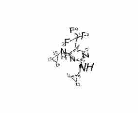 FC(F)(F)c1cnc(NC2CC2)nc1NC1CC1